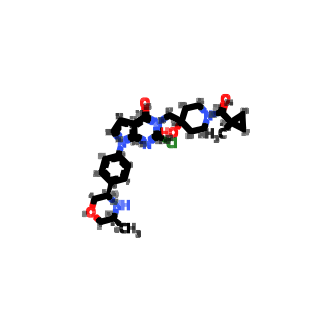 C[C@H]1COC[C@@H](c2ccc(-n3ccc4c(=O)n(CC5(O)CCN(C(=O)C6(C)CC6)CC5)c(Cl)nc43)cc2)N1